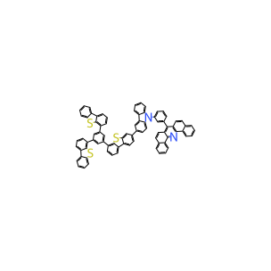 c1cc(-c2c3ccc4ccccc4c3nc3c2ccc2ccccc23)cc(-n2c3ccccc3c3cc(-c4ccc5c(c4)sc4c(-c6cc(-c7cccc8c7sc7ccccc78)cc(-c7cccc8c7sc7ccccc78)c6)cccc45)ccc32)c1